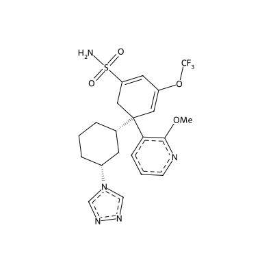 COc1ncccc1C1([C@H]2CCC[C@@H](n3cnnc3)C2)C=C(OC(F)(F)F)C=C(S(N)(=O)=O)C1